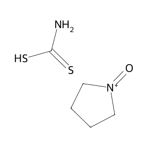 NC(=S)S.O=[N+]1CCCC1